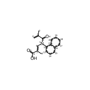 C=C(C)C(=O)N(C=C(C)C(=O)O)c1cccc2ccccc12